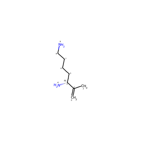 C=C(C)[C@H](N)CCCCN